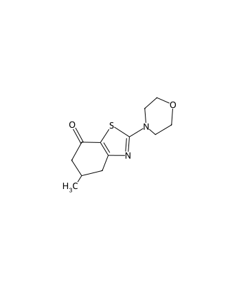 CC1CC(=O)c2sc(N3CCOCC3)nc2C1